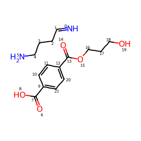 N=CCCCN.O=C(O)c1ccc(C(=O)OCCCO)cc1